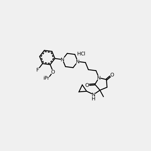 CC(C)Oc1c(F)cccc1N1CCN(CCCN2C(=O)CC(C)(NC3CC3)C2=O)CC1.Cl